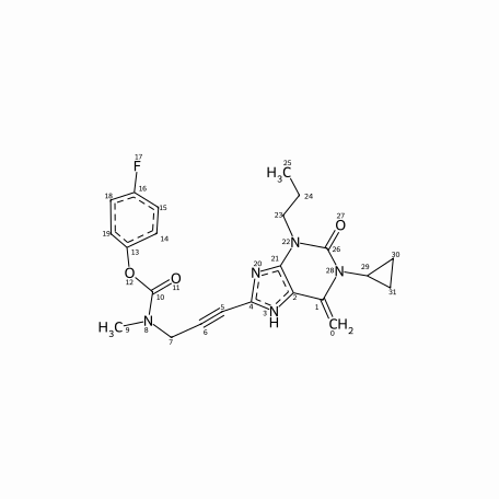 C=C1c2[nH]c(C#CCN(C)C(=O)Oc3ccc(F)cc3)nc2N(CCC)C(=O)N1C1CC1